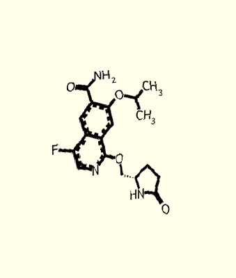 CC(C)Oc1cc2c(OC[C@@H]3CCC(=O)N3)ncc(F)c2cc1C(N)=O